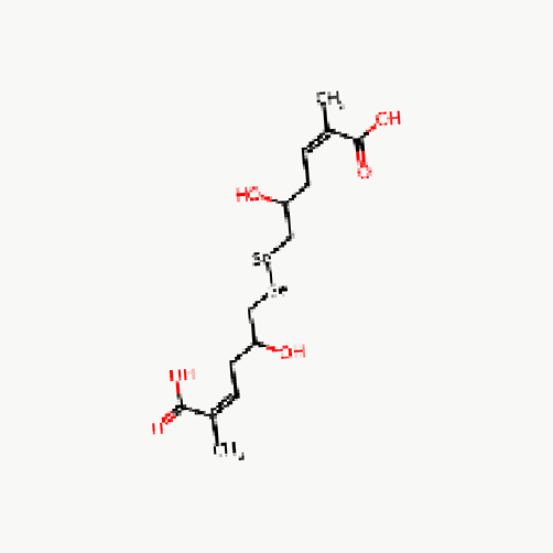 CC(=CCC(O)C[Se][Se]CC(O)CC=C(C)C(=O)O)C(=O)O